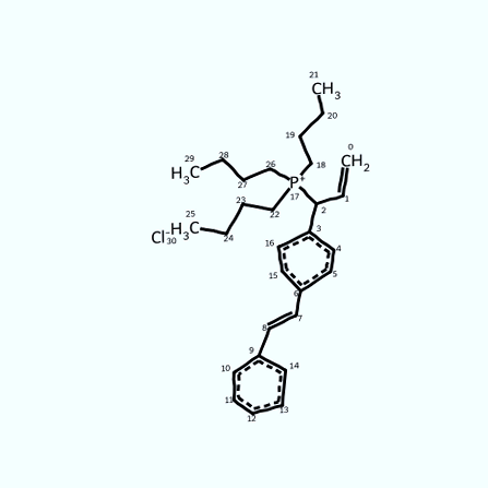 C=CC(c1ccc(C=Cc2ccccc2)cc1)[P+](CCCC)(CCCC)CCCC.[Cl-]